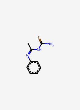 CC(=Nc1ccccc1)NC(N)=S